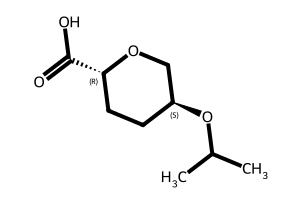 CC(C)O[C@H]1CC[C@H](C(=O)O)OC1